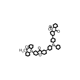 CC1(C)c2ccccc2N(c2ccc3oc4ccc(-c5ccc(N(c6ccccc6)c6ccc(-c7ccc8c(c7)C(=O)c7ccccc7S8(=O)=O)cc6)cc5)cc4c(=O)c3c2)c2ccccc21